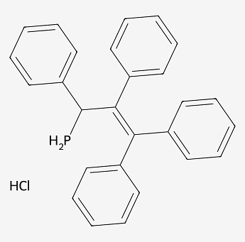 Cl.PC(C(=C(c1ccccc1)c1ccccc1)c1ccccc1)c1ccccc1